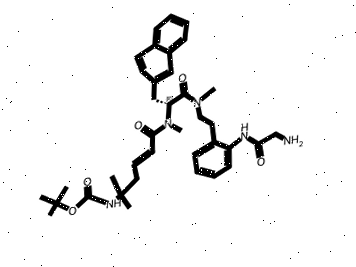 CN(CCc1ccccc1NC(=O)CN)C(=O)[C@@H](Cc1ccc2ccccc2c1)N(C)C(=O)C=CCC(C)(C)NC(=O)OC(C)(C)C